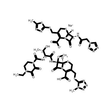 CCN1CCN(C(=O)N[C@@H](C(=O)N[C@]2(OC)C(=O)N3C(C(=O)O)=C(CSc4nnnn4C)CS[C@@H]32)[C@H](C)O)C(=O)C1=O.Cc1nnc(SCC2=C(C(=O)[O-])N3C(=O)[C@@H](NC(=O)Cn4cnnn4)[C@H]3SC2)s1.[Na+]